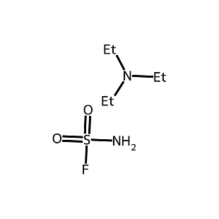 CCN(CC)CC.NS(=O)(=O)F